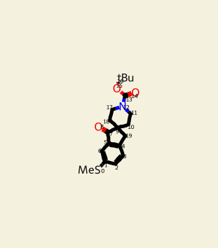 CSc1ccc2c(c1)C(=O)C1(CCN(C(=O)OC(C)(C)C)CC1)C2